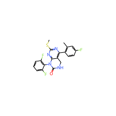 CSc1nc(-c2ccc(F)cc2C)c2c(n1)N(c1c(F)cccc1F)C(=O)NC2